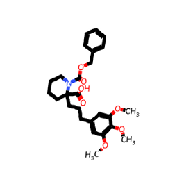 COc1cc(CCCC2(C(=O)O)CCCCN2C(=O)OCc2ccccc2)cc(OC)c1OC